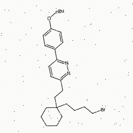 CCCCOc1ccc(-c2ccc(CCC3(CCCCBr)CCCCC3)nn2)cc1